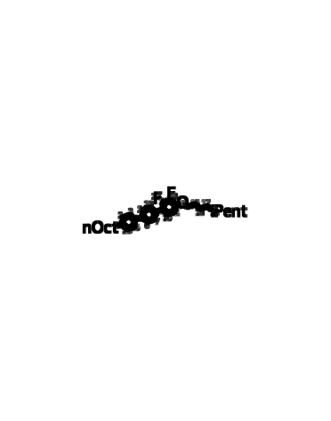 CCCCCCCCc1ccc(-c2ccc(-c3ccc(OCCCCC(C)CCC)c(F)c3F)cc2)cc1